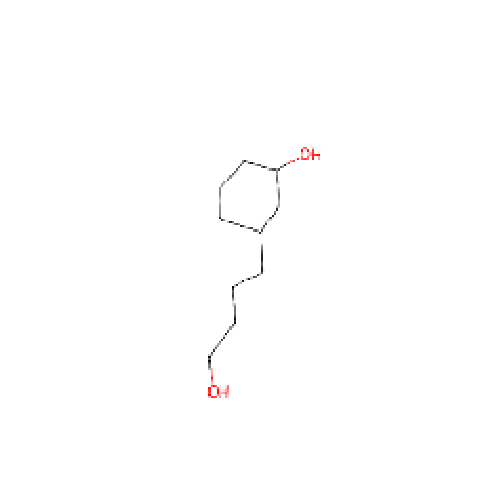 OCCCCC1CCCC(O)C1